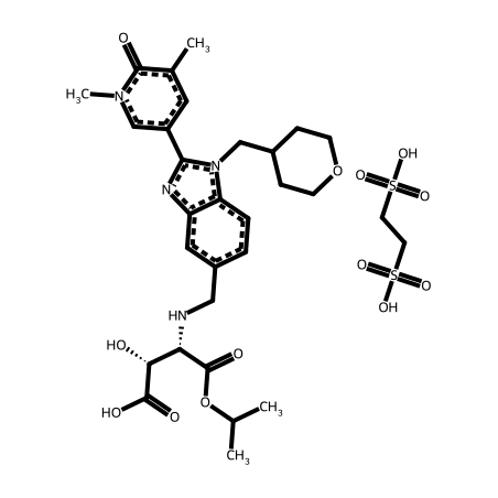 Cc1cc(-c2nc3cc(CN[C@H](C(=O)OC(C)C)[C@@H](O)C(=O)O)ccc3n2CC2CCOCC2)cn(C)c1=O.O=S(=O)(O)CCS(=O)(=O)O